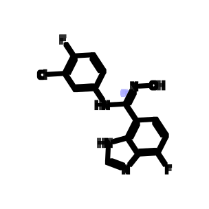 O/N=C(/Nc1ccc(F)c(Cl)c1)c1ccc(F)c2nc[nH]c12